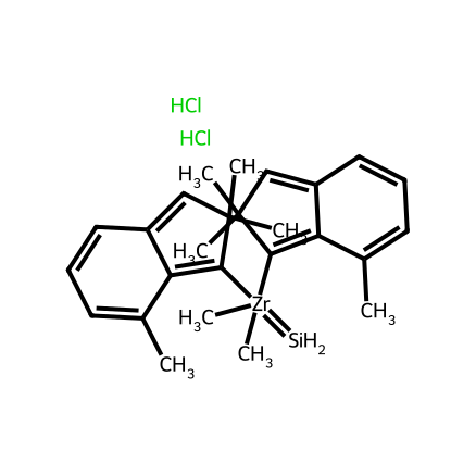 Cc1cccc2c1=[C]([Zr]([CH3])([CH3])(=[SiH2])[C]1=c3c(C)cccc3=CC1(C)C)C(C)(C)C=2.Cl.Cl